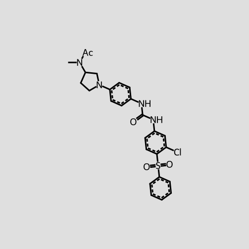 CC(=O)N(C)C1CCN(c2ccc(NC(=O)Nc3ccc(S(=O)(=O)c4ccccc4)c(Cl)c3)cc2)C1